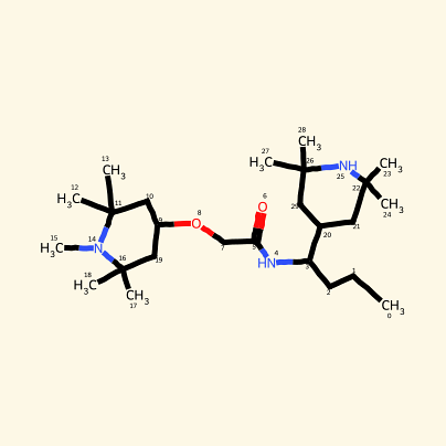 CCCC(NC(=O)COC1CC(C)(C)N(C)C(C)(C)C1)C1CC(C)(C)NC(C)(C)C1